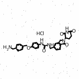 Cl.NCc1ccc(COc2ccc(NC(=O)NCc3ccc4c(c3)CN(C3CCC(=O)NC3=O)C4=O)cc2)cc1